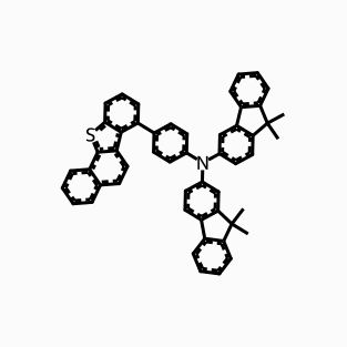 CC1(C)c2ccccc2-c2cc(N(c3ccc(-c4cccc5sc6c7ccccc7ccc6c45)cc3)c3ccc4c(c3)C(C)(C)c3ccccc3-4)ccc21